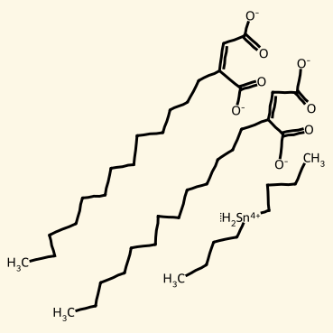 CCCCCCCCCCCCC/C(=C/C(=O)[O-])C(=O)[O-].CCCCCCCCCCCCC/C(=C/C(=O)[O-])C(=O)[O-].CCC[CH2][SnH2+4][CH2]CCC